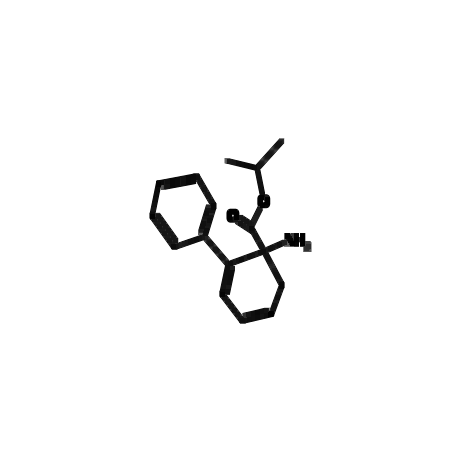 CC(C)OC(=O)C1(N)CC=CC=C1c1ccccc1